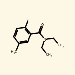 CCN(CC)C(=O)c1cc(C)ccc1F